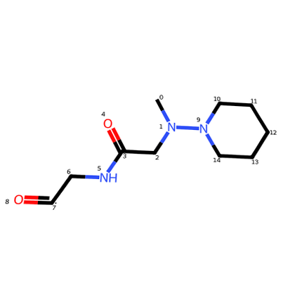 CN(CC(=O)NC[C]=O)N1CCCCC1